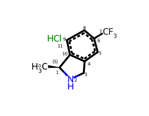 C[C@@H]1NCc2cc(C(F)(F)F)ccc21.Cl